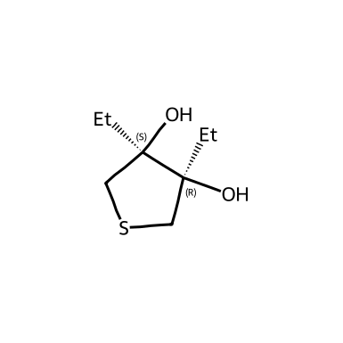 CC[C@@]1(O)CSC[C@@]1(O)CC